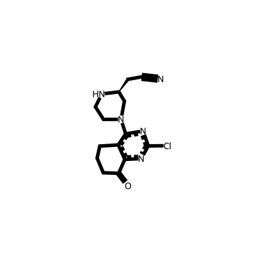 N#CC[C@H]1CN(c2nc(Cl)nc3c2CCCC3=O)CCN1